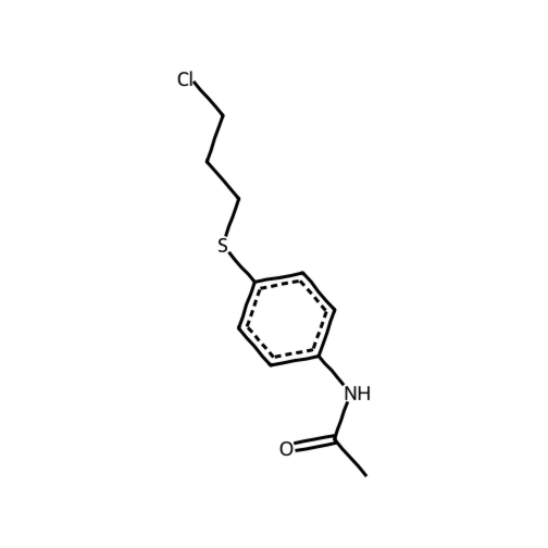 CC(=O)Nc1ccc(SCCCCl)cc1